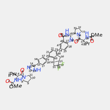 COC(=O)N[C@H](C(=O)N1CCC[C@H]1c1ncc(-c2ccc(-c3ccc(-c4ccc5nc([C@@H]6CCCN6C(=O)[C@@H](NC(=O)OC)C(C)C)[nH]c(=O)c5c4)c4c3C3CC(F)(F)C3C4)cc2)[nH]1)C(C)C